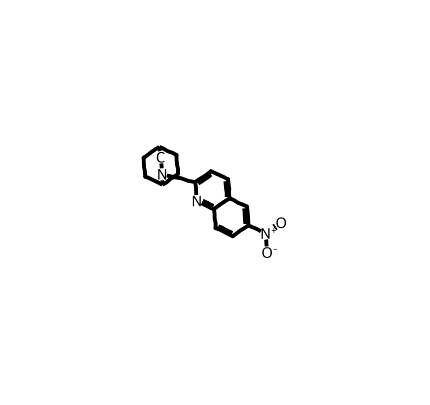 O=[N+]([O-])c1ccc2nc(N3CC4CCC3CC4)ccc2c1